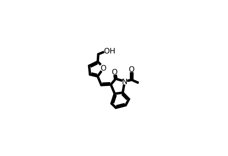 CC(=O)N1C(=O)C(=Cc2ccc(CO)o2)c2ccccc21